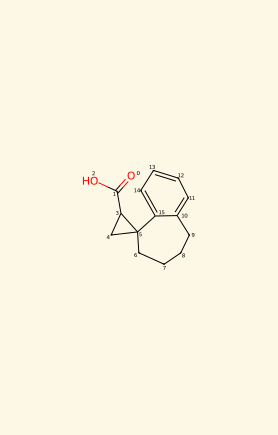 O=C(O)C1CC12CCCCc1ccccc12